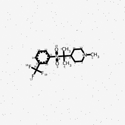 CN1CCC(C(C)(C)S(=O)(=O)c2cccc(C(F)(F)F)c2)CC1